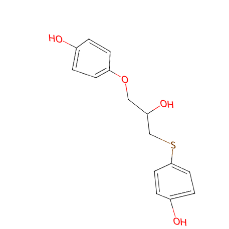 Oc1ccc(OCC(O)CSc2ccc(O)cc2)cc1